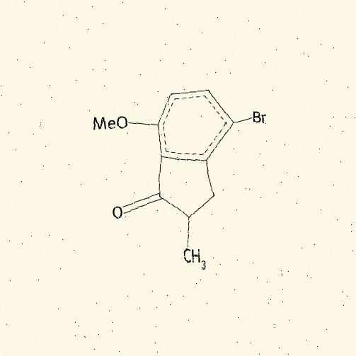 COc1ccc(Br)c2c1C(=O)C(C)C2